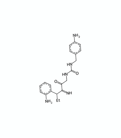 CCC(C(=N)C(=O)CNC(=O)NCc1ccc(N)cc1)c1ccccc1N